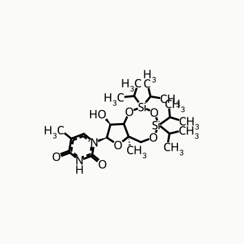 Cc1cn([C@@H]2O[C@]3(C)CO[Si](C(C)C)(C(C)C)O[Si](C(C)C)(C(C)C)OC3[C@@H]2O)c(=O)[nH]c1=O